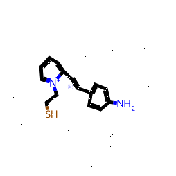 Nc1ccc(/C=C/c2cccc[n+]2CCS)cc1